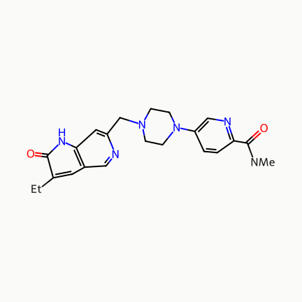 CCc1cc2cnc(CN3CCN(c4ccc(C(=O)NC)nc4)CC3)cc2[nH]c1=O